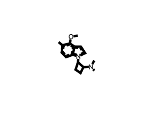 COc1c(C)ccc2c1ccn2C1CCC1N(C)C